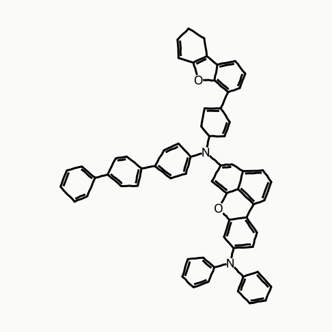 C1=Cc2oc3c(C4=CCC(N(c5ccc(-c6ccc(-c7ccccc7)cc6)cc5)c5cc6c7c(cccc7c5)-c5ccc(N(c7ccccc7)c7ccccc7)cc5O6)C=C4)cccc3c2CC1